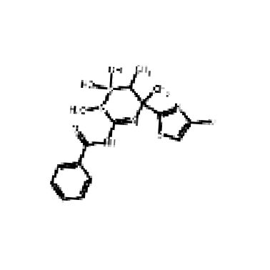 CC1C(C)(c2nc(Br)cs2)N=C(NC(=O)c2ccccc2)N(C)S1(O)O